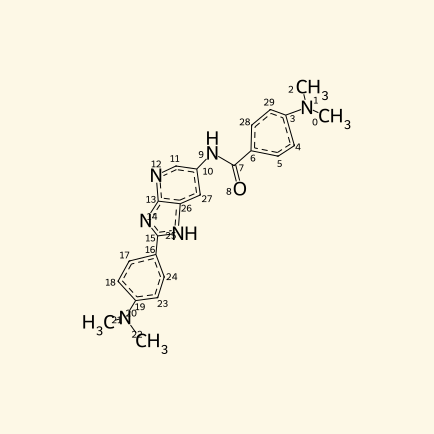 CN(C)c1ccc(C(=O)Nc2cnc3nc(-c4ccc(N(C)C)cc4)[nH]c3c2)cc1